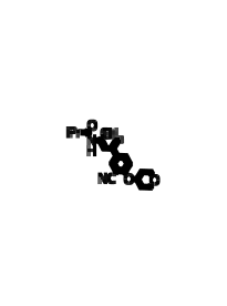 CC/C=C(\C=C(/C)NC(=O)C(C)C)c1ccc(OC2CCOCC2)c(C#N)c1